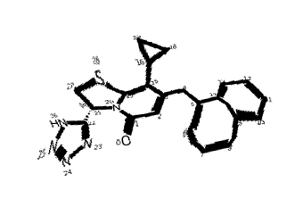 O=c1cc(Cc2cccc3ccccc23)c(C2CC2)c2n1[C@H](c1nnn[nH]1)CS2